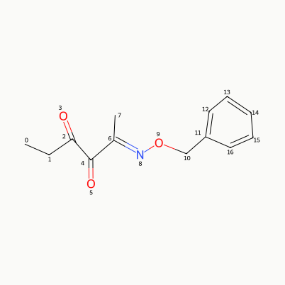 CCC(=O)C(=O)/C(C)=N/OCc1ccccc1